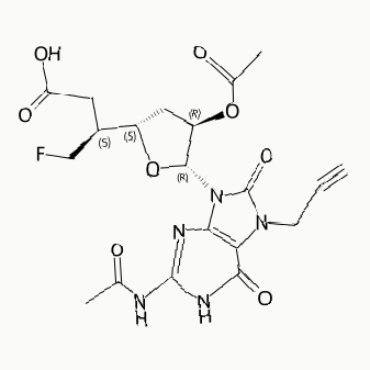 C#CCn1c(=O)n([C@@H]2O[C@H]([C@@H](CF)CC(=O)O)C[C@H]2OC(C)=O)c2nc(NC(C)=O)[nH]c(=O)c21